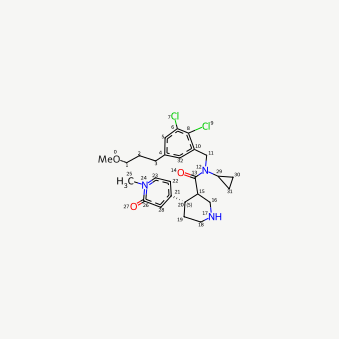 COCCCc1cc(Cl)c(Cl)c(CN(C(=O)C2CNCC[C@@H]2c2ccn(C)c(=O)c2)C2CC2)c1